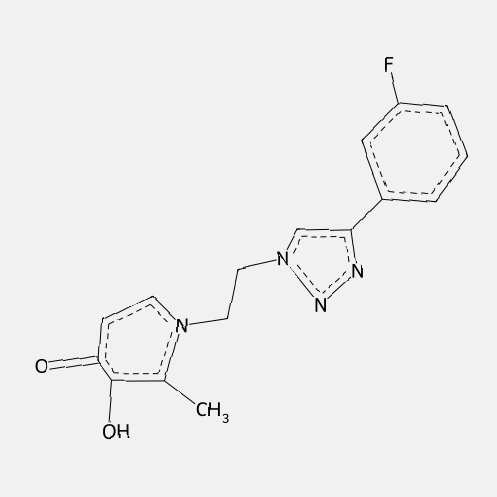 Cc1c(O)c(=O)ccn1CCn1cc(-c2cccc(F)c2)nn1